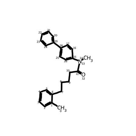 Cc1ccccc1CCCCC(=O)N(C)c1ccc(-c2ccccc2)cc1